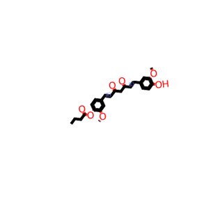 CCCC(=O)Oc1ccc(/C=C/C(=O)CC(=O)/C=C/c2ccc(O)c(OC)c2)cc1OC